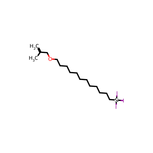 C=C(C)COCCCCCCCCCCCC[Si](I)(I)I